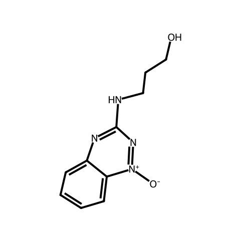 [O-][n+]1nc(NCCCO)nc2ccccc21